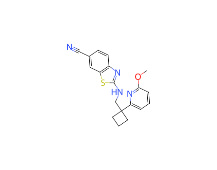 COc1cccc(C2(CNc3nc4ccc(C#N)cc4s3)CCC2)n1